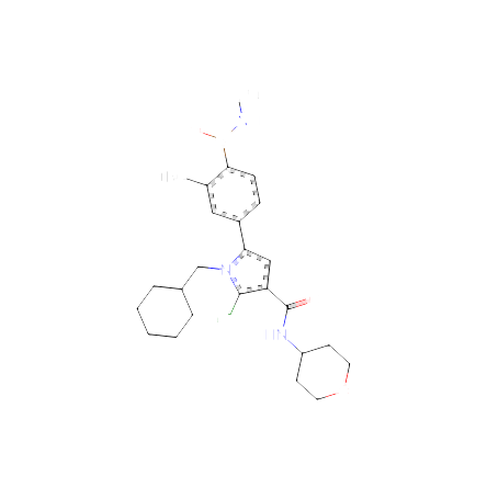 CC(C)(C)N[S+]([O-])c1ccc(-c2cc(C(=O)NC3CCOCC3)c(Cl)n2CC2CCCCC2)cc1C(C)(C)C